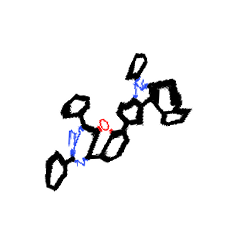 c1ccc(-c2nc(-c3ccccc3)c3oc4c(-c5ccc6c(c5)c5c7ccccc7ccc5n6-c5ccccc5)cccc4c3n2)cc1